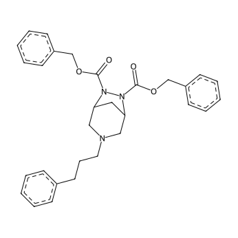 O=C(OCc1ccccc1)N1C2CC(CN(CCCc3ccccc3)C2)N1C(=O)OCc1ccccc1